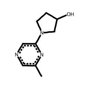 Cc1cncc(N2CCC(O)C2)n1